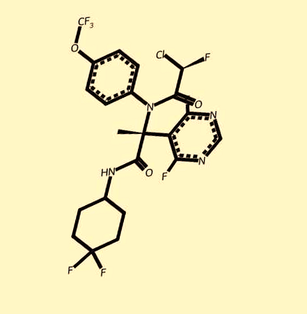 C[C@](C(=O)NC1CCC(F)(F)CC1)(c1c(F)ncnc1F)N(C(=O)[C@H](F)Cl)c1ccc(OC(F)(F)F)cc1